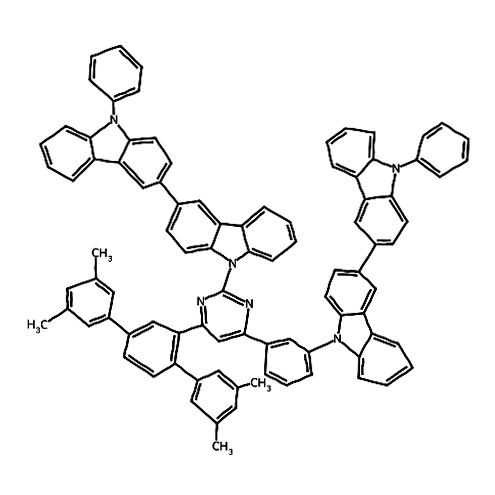 Cc1cc(C)cc(-c2ccc(-c3cc(C)cc(C)c3)c(-c3cc(-c4cccc(-n5c6ccccc6c6cc(-c7ccc8c(c7)c7ccccc7n8-c7ccccc7)ccc65)c4)nc(-n4c5ccccc5c5cc(-c6ccc7c(c6)c6ccccc6n7-c6ccccc6)ccc54)n3)c2)c1